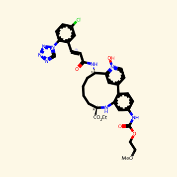 CCOC(=O)[C@H]1CCCC[C@H](NC(=O)/C=C/c2cc(Cl)ccc2-n2cnnn2)c2cc(cc[n+]2O)-c2ccc(NC(=O)OCCOC)cc2N1